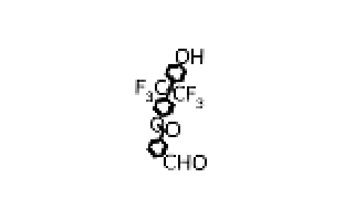 O=Cc1cccc(C(=O)Oc2ccc(C(c3ccc(O)cc3)(C(F)(F)F)C(F)(F)F)cc2)c1